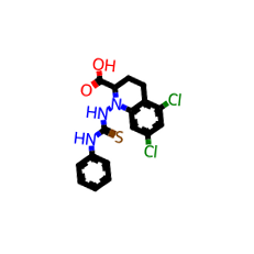 O=C(O)C1CCc2c(Cl)cc(Cl)cc2N1NC(=S)Nc1ccccc1